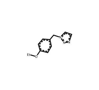 CCOc1ccc(Cn2ccnn2)cc1